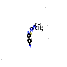 CCN(C)C1CCN(c2nc3ccc(-c4ccc(C#N)cc4)cc3s2)C1